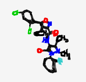 Cc1c(C(=O)Nc2c(C)n(C)n(-c3ccccc3F)c2=O)noc1-c1ccc(Cl)cc1Cl